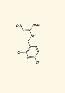 CNC(=C[N+](=O)[O-])NCc1ccc(Cl)nc1Cl